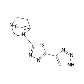 c1[nH]nnc1-c1nnc(N2CCN3CCC2CC3)s1